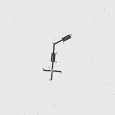 C#CCC#C[Si](C)(C)C